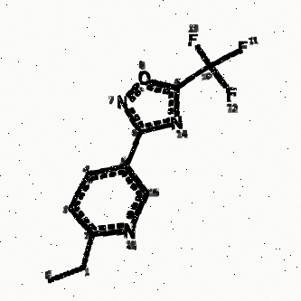 CCc1ccc(-c2noc(C(F)(F)F)n2)cn1